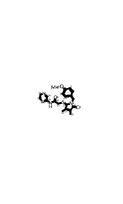 COc1ccc(CN2C(=O)C(C)=C(C)C2SCC(=O)Nc2cnccn2)cc1